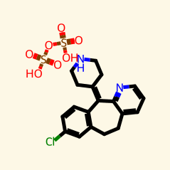 Clc1ccc2c(c1)CCc1cccnc1C2=C1CCNCC1.O=S(=O)(O)OS(=O)(=O)O